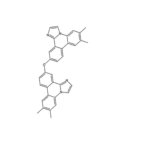 Cc1cc2c3ccc(Oc4ccc5c6cc(C)c(C)cc6n6ccnc6c5c4)cc3c3nccn3c2cc1C